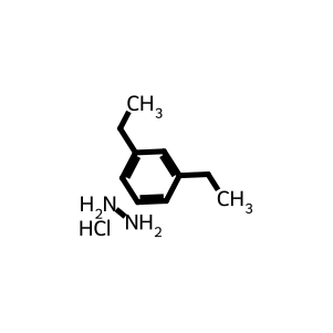 CCc1cccc(CC)c1.Cl.NN